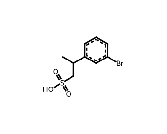 CC(CS(=O)(=O)O)c1cccc(Br)c1